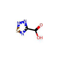 O=C(O)c1nnsn1